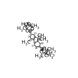 Cc1cc(B2OC(C)(C)C(C)(C)O2)cc2c1-c1ccc(B3OC(C)(C)C(C)(C)O3)cc1C2(C)C